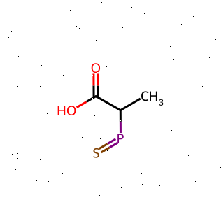 CC(P=S)C(=O)O